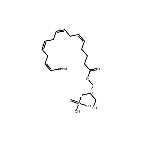 CCCCC/C=C\C/C=C\C/C=C\C/C=C\CCCC(=O)OC[C@H](CO)OP(=O)(O)O